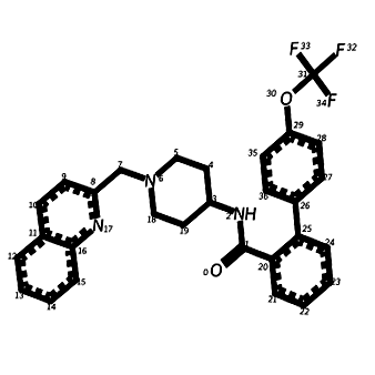 O=C(NC1CCN(Cc2ccc3ccccc3n2)CC1)c1ccccc1-c1ccc(OC(F)(F)F)cc1